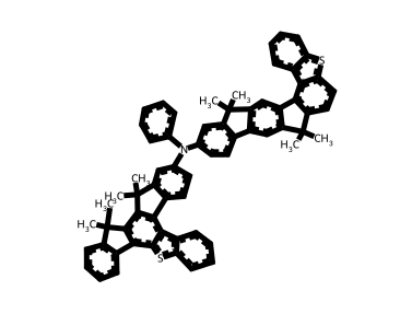 CC1(C)c2cc(N(c3ccccc3)c3ccc4c(c3)C(C)(C)c3c5c(c6sc7ccccc7c6c3-4)-c3ccccc3C5(C)C)ccc2-c2cc3c(cc21)-c1c(ccc2sc4ccccc4c12)C3(C)C